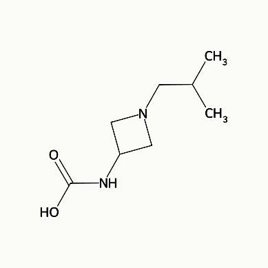 CC(C)CN1CC(NC(=O)O)C1